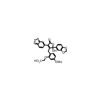 COc1ccc(CC2=C(c3ccc4nsnc4c3)C(=O)OC2(O)c2ccc3c(c2)OCO3)c(OCC(=O)O)c1